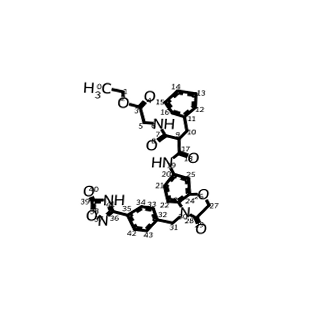 CCOC(=O)CNC(=O)C(Cc1ccccc1)C(=O)Nc1ccc2c(c1)OCC(=O)N2Cc1ccc(-c2noc(=O)[nH]2)cc1